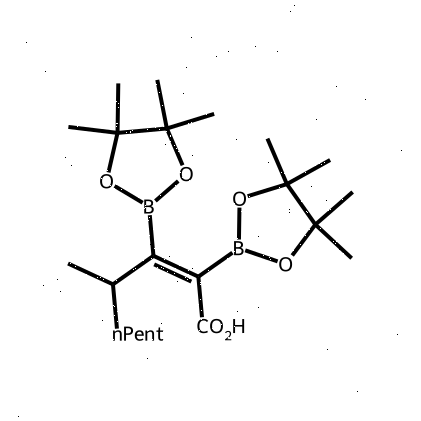 CCCCCC(C)C(B1OC(C)(C)C(C)(C)O1)=C(B1OC(C)(C)C(C)(C)O1)C(=O)O